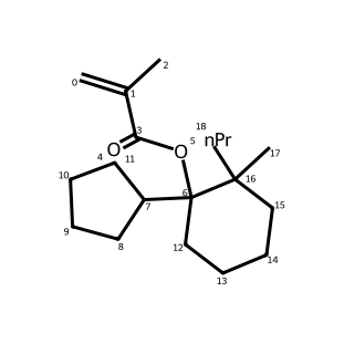 C=C(C)C(=O)OC1(C2CCCC2)CCCCC1(C)CCC